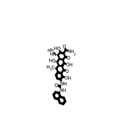 CCCN[C@@H]1C(O)=C(C(N)=O)C(=O)C2C(O)=C3C(=O)c4c(ccc(NC(=O)Nc5cccc6ccccc56)c4O)[C@H](C)C3[C@H](O)C21